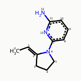 C/C=C1\CCCN1c1cccc(N)n1